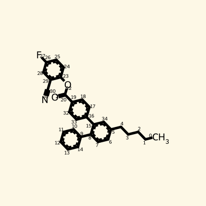 CCCCCc1ccc(-c2ccccc2)c(-c2ccc(C(=O)Oc3ccc(F)cc3C#N)cc2)c1